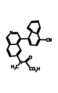 CN(C(=O)C(=O)O)c1ccc2cncc(-c3ccc(C#N)c4ccccc34)c2c1